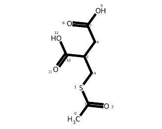 CC(=O)SCC(CC(=O)O)C(=O)O